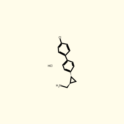 Cl.NC[C@@H]1C[C@H]1c1ccc(-c2ccc(Cl)cc2)cc1